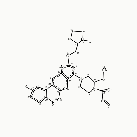 C=CC(=O)N1CCN(c2nc(OCC3CCCN3C)nc3cc(-c4cc(C)ccc4F)c(C#N)cc23)CC1CC#N